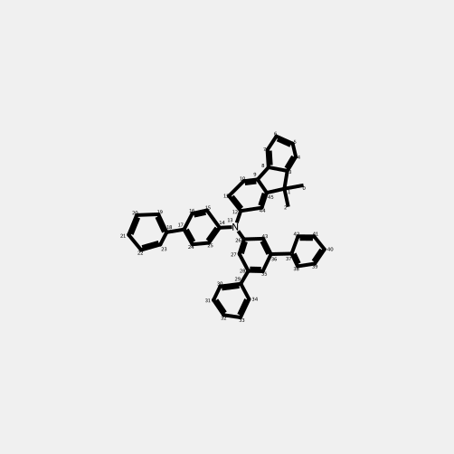 CC1(C)c2ccccc2-c2ccc(N(c3ccc(-c4ccccc4)cc3)c3cc(-c4ccccc4)cc(-c4ccccc4)c3)cc21